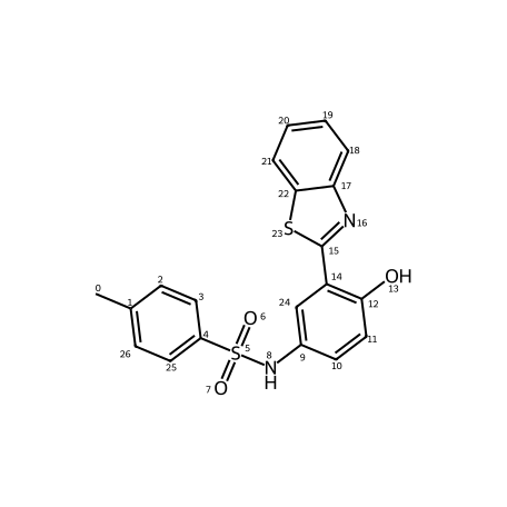 Cc1ccc(S(=O)(=O)Nc2ccc(O)c(-c3nc4ccccc4s3)c2)cc1